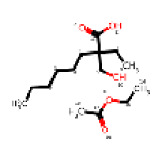 CCCCCCC(CC)(CO)C(=O)O.CCOC(C)=O